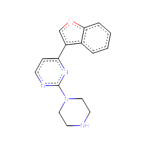 c1ccc2c(-c3ccnc(N4CCNCC4)n3)coc2c1